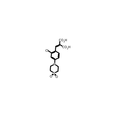 O=C(O)C(=Cc1ccc(N2CCS(=O)(=O)CC2)cc1Cl)C(=O)O